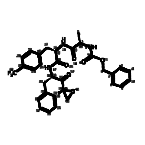 C[C@@H](NC(=O)OCc1ccccc1)C(=O)N[C@@H](Cc1ccc(C(F)(F)F)cc1)C(=O)N[C@@H](Cc1ccccc1)C(=O)[C@@]1(C)CO1